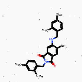 COc1ccc(CNc2cc3c(cc2[N+](=O)[O-])C(=O)N(Cc2ccc(OC)cc2OC)C3=O)c(OC)c1